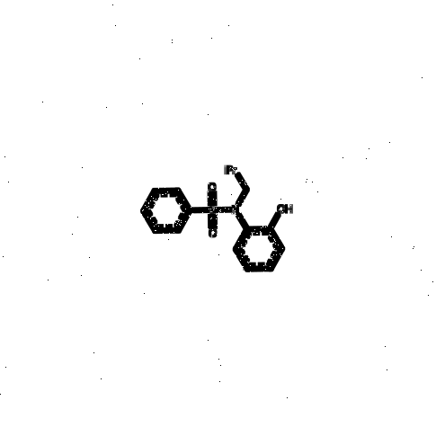 CC(C)CN(c1c[c]ccc1O)S(=O)(=O)c1ccccc1